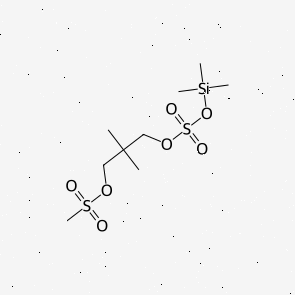 CC(C)(COS(C)(=O)=O)COS(=O)(=O)O[Si](C)(C)C